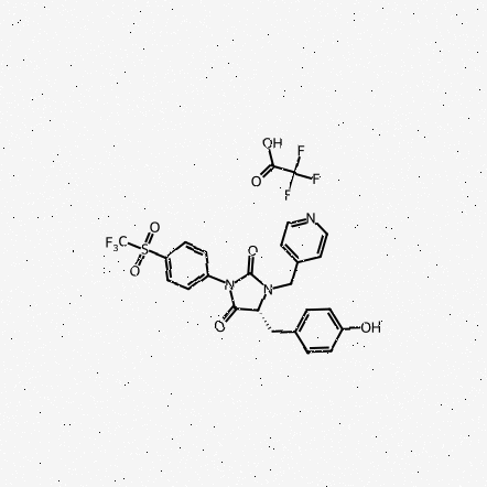 O=C(O)C(F)(F)F.O=C1[C@@H](Cc2ccc(O)cc2)N(Cc2ccncc2)C(=O)N1c1ccc(S(=O)(=O)C(F)(F)F)cc1